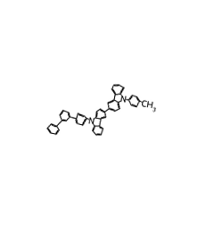 Cc1ccc(-n2c3ccccc3c3cc(-c4ccc5c(c4)c4ccccc4n5-c4ccc(-c5cccc(-c6ccccc6)c5)cc4)ccc32)cc1